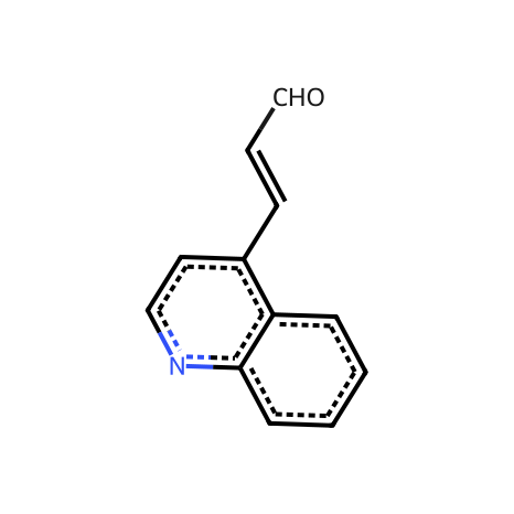 O=CC=Cc1ccnc2ccccc12